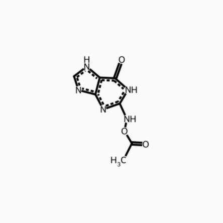 CC(=O)ONc1nc2nc[nH]c2c(=O)[nH]1